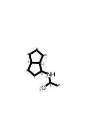 CC([O])NC1CCC2CCCC21